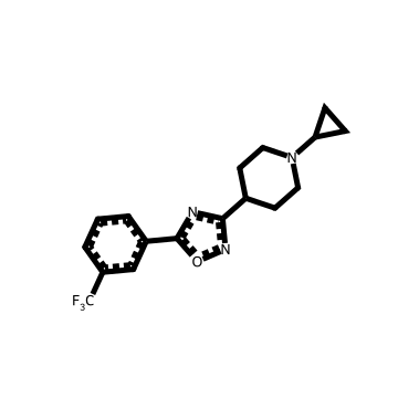 FC(F)(F)c1cccc(-c2nc(C3CCN(C4CC4)CC3)no2)c1